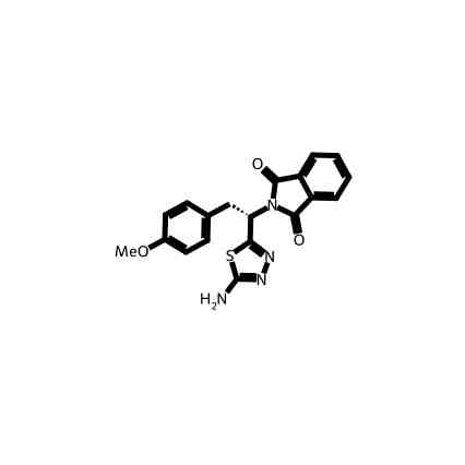 COc1ccc(C[C@@H](c2nnc(N)s2)N2C(=O)c3ccccc3C2=O)cc1